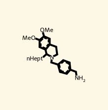 CCCCCCCC1c2cc(OC)c(OC)cc2CCN1Cc1ccc(CN)cc1